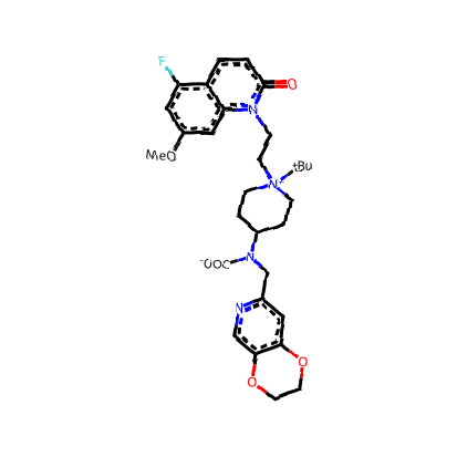 COc1cc(F)c2ccc(=O)n(CC[N+]3(C(C)(C)C)CCC(N(Cc4cc5c(cn4)OCCO5)C(=O)[O-])CC3)c2c1